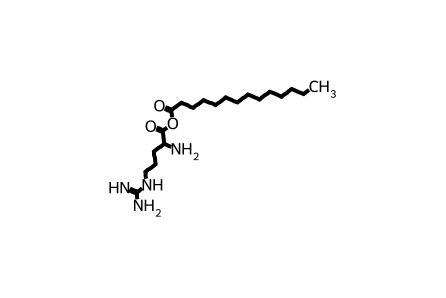 CCCCCCCCCCCCCC(=O)OC(=O)C(N)CCCNC(=N)N